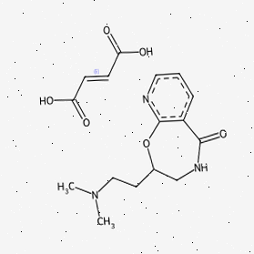 CN(C)CCC1CNC(=O)c2cccnc2O1.O=C(O)/C=C/C(=O)O